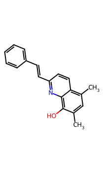 Cc1cc(C)c2ccc(C=Cc3ccccc3)nc2c1O